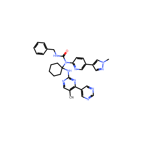 Cn1cc(-c2ccc(N(C(=O)NCc3ccccc3)C3(Nc4ncc(C#N)c(-c5cncnc5)n4)CCCCC3)nc2)cn1